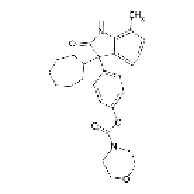 Cc1cccc2c1NC(=O)C2(c1ccc(OC(=O)N2CCOCC2)cc1)C1CCCCCC1